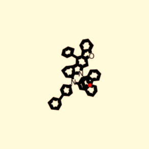 c1ccc(-c2ccc(N(c3ccc4ccccc4c3)c3cccc4c5c(-c6ccccc6)c6c(cc5n(-c5cccc7ccccc57)c34)oc3ccccc36)cc2)cc1